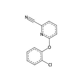 N#Cc1cccc(Oc2ccccc2Cl)n1